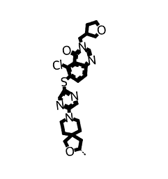 C[C@H]1CC2(CCN(c3cnc(Sc4ccc5ncn(CC6CCOC6)c(=O)c5c4Cl)cn3)CC2)CO1